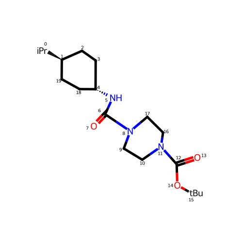 CC(C)[C@H]1CC[C@H](NC(=O)N2CCN(C(=O)OC(C)(C)C)CC2)CC1